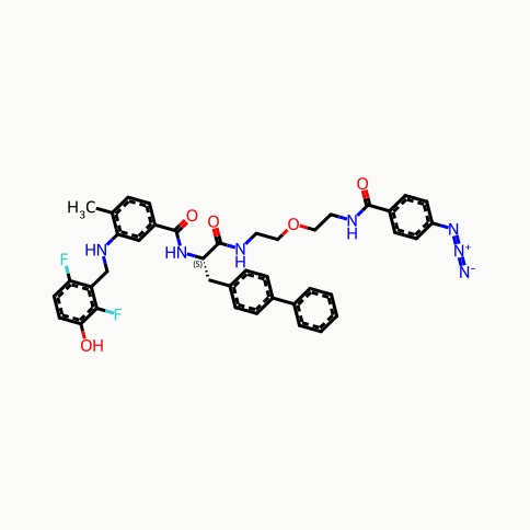 Cc1ccc(C(=O)N[C@@H](Cc2ccc(-c3ccccc3)cc2)C(=O)NCCOCCNC(=O)c2ccc(N=[N+]=[N-])cc2)cc1NCc1c(F)ccc(O)c1F